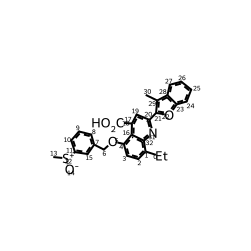 CCc1ccc(OCc2cccc([S+](C)[O-])c2)c2c(C(=O)O)cc(-c3oc4ccccc4c3C)nc12